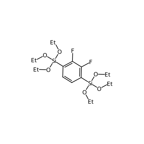 CCO[Si](OCC)(OCC)c1ccc([Si](OCC)(OCC)OCC)c(F)c1F